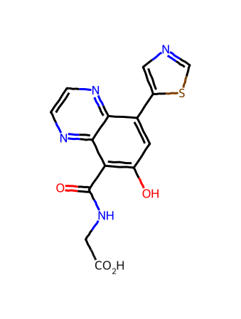 O=C(O)CNC(=O)c1c(O)cc(-c2cncs2)c2nccnc12